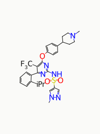 CC(C)c1ccccc1-c1nc(NS(=O)(=O)c2cnn(C)c2)nc(Oc2ccc(C3CCN(C)CC3)cc2)c1C(F)(F)F